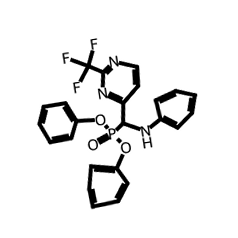 O=P(Oc1ccccc1)(Oc1ccccc1)C(Nc1ccccc1)c1ccnc(C(F)(F)F)n1